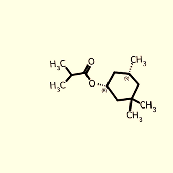 CC(C)C(=O)O[C@@H]1C[C@H](C)CC(C)(C)C1